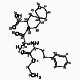 CCOC(=O)C(CCc1ccccc1)N[C@@H](C)C(=O)N1CCC2(CCCOC2)CC1C(=O)O